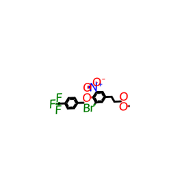 COC(=O)CCc1cc(Br)c(OCc2ccc(C(F)(F)F)cc2)c([N+](=O)[O-])c1